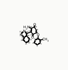 Cc1ccccc1OC1=CC(=O)C(N)=C(c2ncnc3ccccc23)C1=O